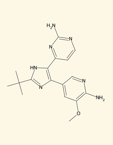 COc1cc(-c2nc(C(C)(C)C)[nH]c2-c2ccnc(N)n2)cnc1N